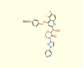 COc1ccc(COc2cc(C(O)C3OCCN(c4ccn(-c5ccncc5)n4)C3=O)nc3ccc(I)c(F)c23)cc1